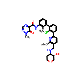 COc1nc(-c2cccc(-c3cccc(NC(=O)c4ncnn(C)c4=O)c3C)c2Cl)ccc1CN[C@@H]1CCOC[C@H]1O